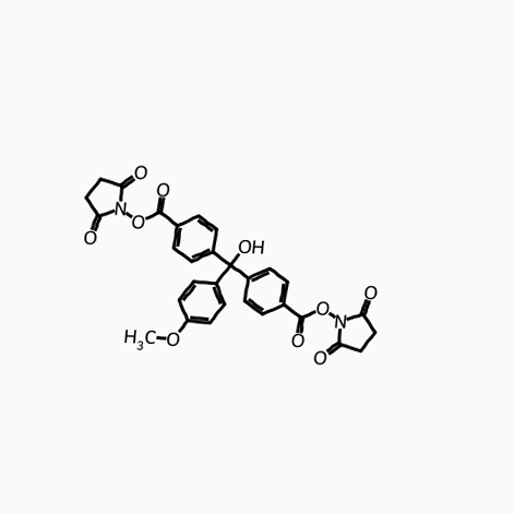 COc1ccc(C(O)(c2ccc(C(=O)ON3C(=O)CCC3=O)cc2)c2ccc(C(=O)ON3C(=O)CCC3=O)cc2)cc1